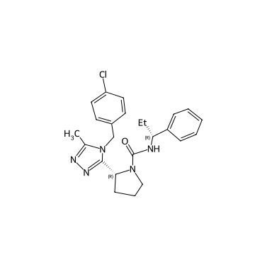 CC[C@@H](NC(=O)N1CCC[C@@H]1c1nnc(C)n1Cc1ccc(Cl)cc1)c1ccccc1